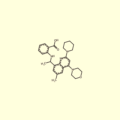 Cc1cc(C(C)Nc2ccccc2C(=O)O)c2nc(N3CCCCC3)cc(N3CCOCC3)c2c1